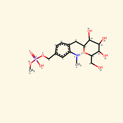 CNc1cc(COP(=O)(O)OC)ccc1CC1OC(CO)C(O)C(O)C1O